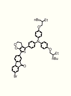 CCCCC(CC)COc1ccc(N(c2ccc(OCC(CC)CCCC)cc2)c2ccc(-c3sc(-c4ccc5c(c4)C(=O)c4cc(Br)ccc4-5)c4c3CCOO4)cc2)cc1